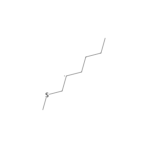 CCCC[CH]CSC